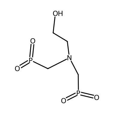 O=P(=O)CN(CCO)CP(=O)=O